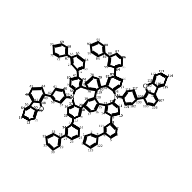 c1ccc(-c2cccc(-c3ccc4c(c3)c3cccc5c6cc(-c7cccc(-c8ccccc8)c7)ccc6n(-c6ccc(-c7cccc8c7oc7ccccc78)cc6)c6ccc(-c7cccc(-c8ccccc8)c7)cc6c6cccc(c7cc(-c8cccc(-c9ccccc9)c8)ccc7n4-c4ccc(-c7cccc8c7oc7ccccc78)cc4)c6c35)c2)cc1